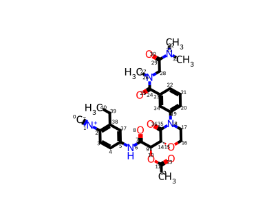 [C-]#[N+]c1ccc(NC(=O)[C@H](OC(C)=O)[C@H]2OCCN(c3cccc(C(=O)N(C)CC(=O)N(C)C)c3)C2=O)cc1CC